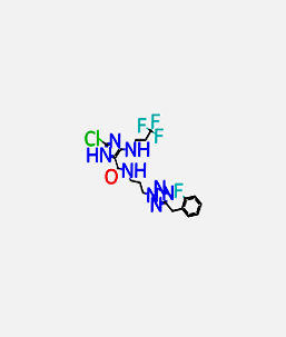 O=C(NCCCn1nnc(Cc2ccccc2F)n1)c1[nH]c(Cl)nc1NCCC(F)(F)F